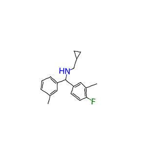 Cc1cccc(C(NCC2CC2)c2ccc(F)c(C)c2)c1